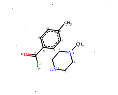 CN1CCNCC1.Cc1ccc(C(=O)Cl)cc1